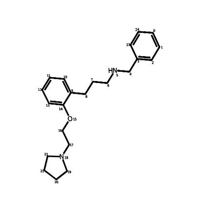 c1ccc(CNCCCc2ccccc2OCCN2CCCC2)cc1